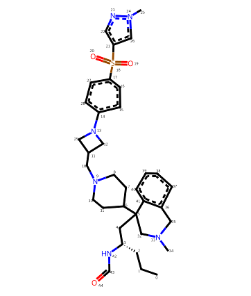 CCC[C@@H](CC1(C2CCN(CC3CN(c4ccc(S(=O)(=O)c5cnn(C)c5)cc4)C3)CC2)CN(C)Cc2ccccc21)NC=O